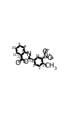 Cc1ccc(-c2nc3ccccc3c(=O)o2)cc1[N+](=O)[O-]